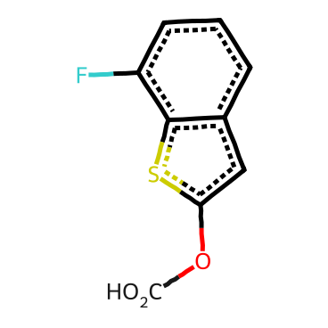 O=C(O)Oc1cc2cccc(F)c2s1